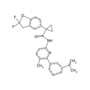 C=C(C)c1cccc(-c2nc(NC(=O)C3(c4ccc5c(c4)CC(F)(F)O5)CC3)ccc2C)c1